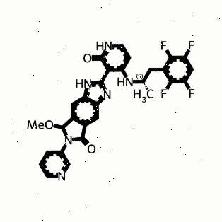 COC1c2cc3[nH]c(-c4c(N[C@@H](C)Cc5c(F)c(F)cc(F)c5F)cc[nH]c4=O)nc3cc2C(=O)N1c1cccnc1